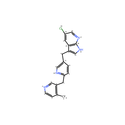 FC(F)(F)c1ccncc1[CH]c1ccc(Cc2c[nH]c3ncc(Cl)cc23)cn1